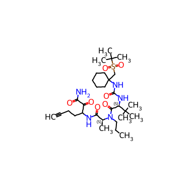 C#CCCC(NC(=O)[C@H](C)N(CCC)C(=O)[C@@H](NC(=O)NC1(CS(=O)(=O)C(C)(C)C)CCCCC1)C(C)(C)C)C(=O)C(N)=O